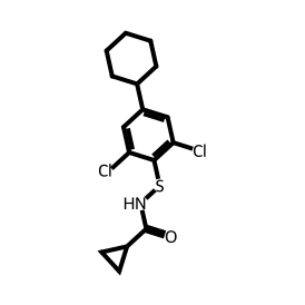 O=C(NSc1c(Cl)cc(C2CCCCC2)cc1Cl)C1CC1